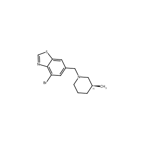 C[C@H]1CCCN(Cc2cc(Br)c3ncsc3c2)C1